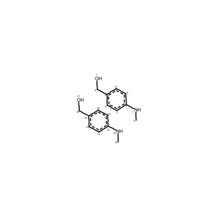 CNc1ccc(CO)cc1.CNc1ccc(CO)cc1